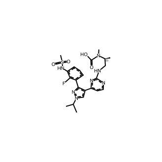 CC(C)n1cc(-c2ccnc(NC[C@H](C)N(C)C(=O)O)n2)c(-c2cccc(NS(C)(=O)=O)c2F)n1